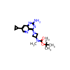 CN(C(=O)OC(C)(C)C)C1CN(c2nc(N)nc3cc(C4CC4)cnc23)C1